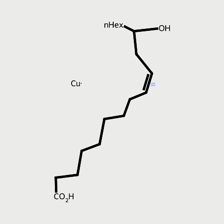 CCCCCCC(O)C/C=C\CCCCCCCC(=O)O.[Cu]